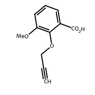 C#CCOc1c(OC)cccc1C(=O)O